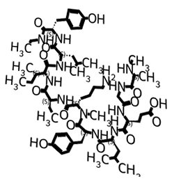 CCNC(=O)[C@H](Cc1ccc(O)cc1)NC(=O)[C@H](CC(C)C)NC(=O)[C@@H](NC(=O)[C@H](CC)NC(=O)[C@H](CCCCN)N(C)C(=O)[C@H](Cc1ccc(O)cc1)NC(=O)[C@H](CC(C)C)NC(=O)[C@H](CCC(=O)O)NC(=O)CNC(=O)[C@H](C)NC)[C@@H](C)CC